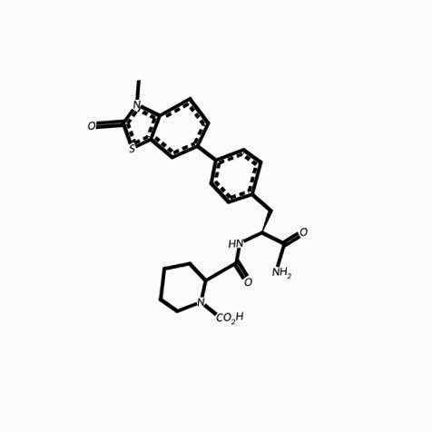 Cn1c(=O)sc2cc(-c3ccc(C[C@H](NC(=O)C4CCCCN4C(=O)O)C(N)=O)cc3)ccc21